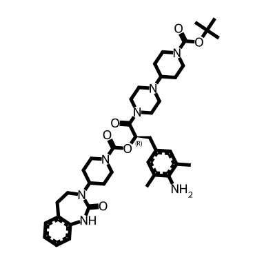 Cc1cc(C[C@@H](OC(=O)N2CCC(N3CCc4ccccc4NC3=O)CC2)C(=O)N2CCN(C3CCN(C(=O)OC(C)(C)C)CC3)CC2)cc(C)c1N